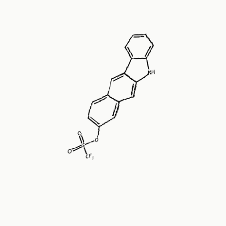 O=S(=O)(Oc1ccc2cc3c(cc2c1)[nH]c1ccccc13)C(F)(F)F